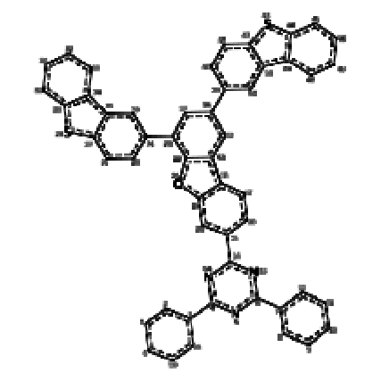 c1ccc(-c2nc(-c3ccccc3)nc(-c3ccc4c(c3)oc3c(-c5ccc6sc7ccccc7c6c5)cc(-c5ccc6sc7ccccc7c6c5)cc34)n2)cc1